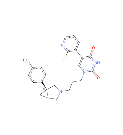 O=c1[nH]c(=O)n(CCCN2CC3C[C@]3(c3ccc(C(F)(F)F)cc3)C2)cc1-c1cccnc1F